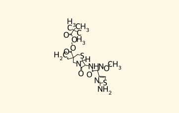 C=CC1(C(=O)OCOC(=O)C(C)(C)C)CS[C@@H]2C(NC(=O)C(=NOC)c3csc(N)n3)C(=O)N2C1